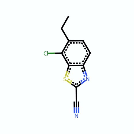 CCc1ccc2nc(C#N)sc2c1Cl